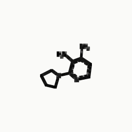 Nc1ccnc(N2CCCC2)c1N